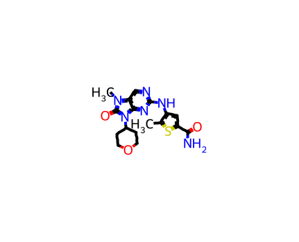 Cc1sc(C(N)=O)cc1Nc1ncc2c(n1)n(C1CCOCC1)c(=O)n2C